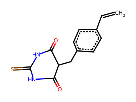 C=Cc1ccc(CC2C(=O)NC(=S)NC2=O)cc1